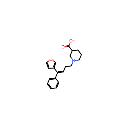 O=C(O)C1CCCN(CCC=C(c2ccccc2)c2ccoc2)C1